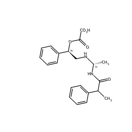 CC(C(=O)N[C@@H](C)NC[C@H](OC(=O)C(=O)O)c1ccccc1)c1ccccc1